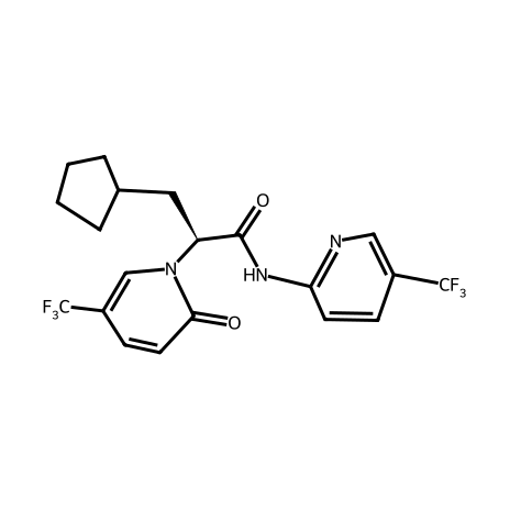 O=C(Nc1ccc(C(F)(F)F)cn1)[C@H](CC1CCCC1)n1cc(C(F)(F)F)ccc1=O